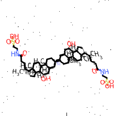 C[C@H](CCC(=O)NCCS(=O)(=O)O)[C@H]1CC[C@H]2[C@@H]3[C@@H](O)CC4C/C(=C5\CC[C@@]6(C)C(C5)C[C@H](O)[C@H]5[C@@H]7CC[C@H]([C@H](C)CCC(=O)NCCS(=O)(=O)O)[C@@]7(C)CC[C@@H]56)CC[C@]4(C)[C@H]3CC[C@]12C